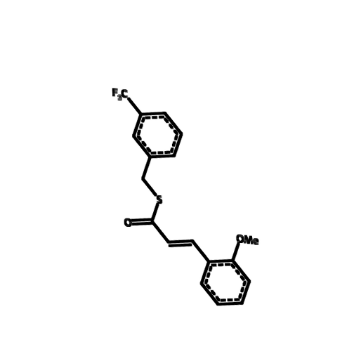 COc1ccccc1/C=C/C(=O)SCc1cccc(C(F)(F)F)c1